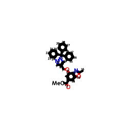 COC(=O)c1cc(OCc2cnn(C(c3ccccc3)(c3ccccc3)c3ccccc3)c2)c2nc(C)oc2c1